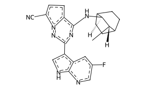 C[C@H]1C2CCC(CC2)[C@@H]1Nc1nc(-c2c[nH]c3ncc(F)cc23)nn2c(C#N)ccc12